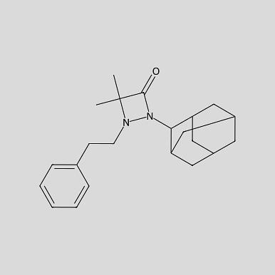 CC1(C)C(=O)N(C2C3CC4CC(C3)CC2C4)N1CCc1ccccc1